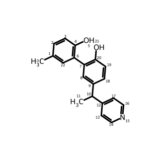 Cc1ccc(O)c(-c2cc(C(C)c3ccncc3)ccc2O)c1